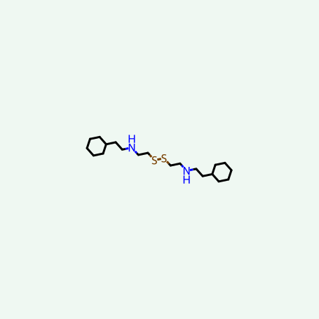 C1CCC(CCNCCSSCCNCCC2CCCCC2)CC1